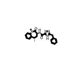 C[C@H]1C[C@H](NC(=O)c2nnc(Cc3ccccc3)[nH]2)C(=O)N(C)c2ccccc21